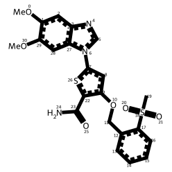 COc1cc2ncn(-c3cc(OCc4ccccc4S(C)(=O)=O)c(C(N)=O)s3)c2cc1OC